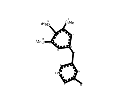 COc1cc(Cc2cncc(C)c2)cc(OC)c1OC